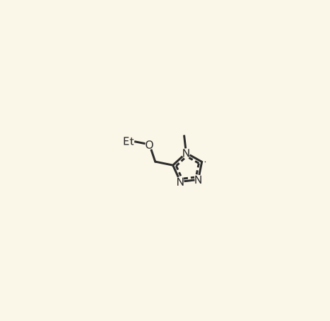 CCOCc1nn[c]n1C